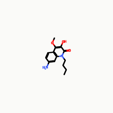 CCCCn1c(=O)c(O)c(OC)c2ccc(N)cc21